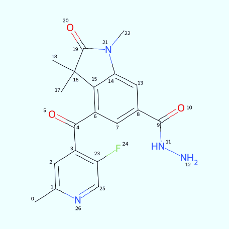 Cc1cc(C(=O)c2cc(C(=O)NN)cc3c2C(C)(C)C(=O)N3C)c(F)cn1